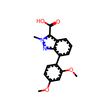 COc1ccc(-c2cccc3c(C(=O)O)n(C)nc23)c(OC)c1